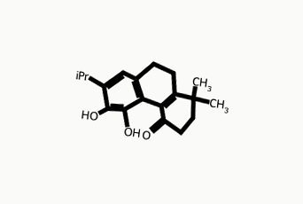 CC(C)c1cc2c(c(O)c1O)C1=C(CC2)C(C)(C)CCC1=O